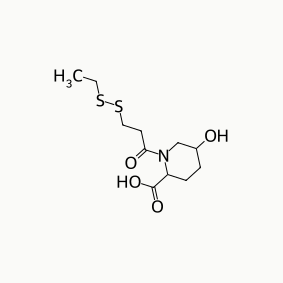 CCSSCCC(=O)N1CC(O)CCC1C(=O)O